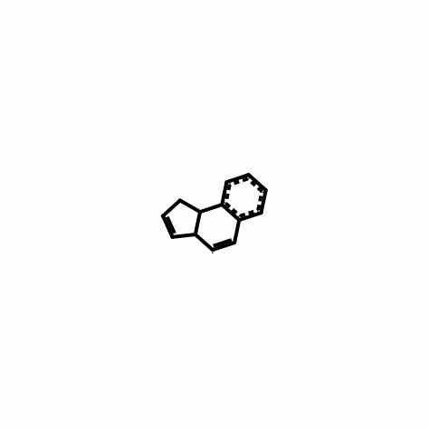 [C]1=Cc2ccccc2C2CC=CC12